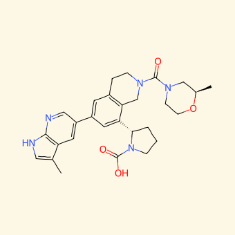 Cc1c[nH]c2ncc(-c3cc4c(c([C@@H]5CCCN5C(=O)O)c3)CN(C(=O)N3CCO[C@H](C)C3)CC4)cc12